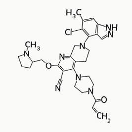 C=CC(=O)N1CCN(c2c(C#N)c(OCC3CCCN3C)nc3c2CCN(c2c(Cl)c(C)cc4[nH]ncc24)C3)CC1